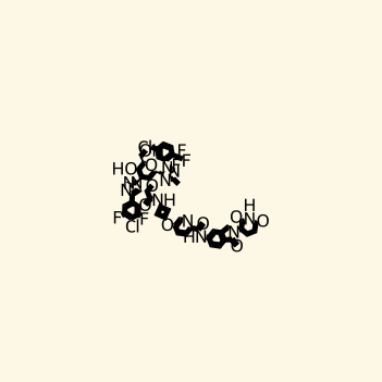 Cc1nc([C@@H]2O[C@H](CO)[C@H](O)[C@H](n3cc(-c4cc(F)c(Cl)c(F)c4)nn3)[C@H]2OCC(=O)N[C@H]2C[C@@H](Oc3ccc(C(=O)Nc4ccc5c(c4)CN(C4CCC(=O)NC4=O)C5=O)nc3)C2)n(-c2cc(Cl)ccc2C(F)(F)F)n1